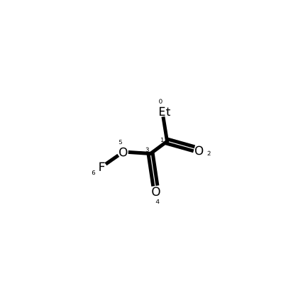 CCC(=O)C(=O)OF